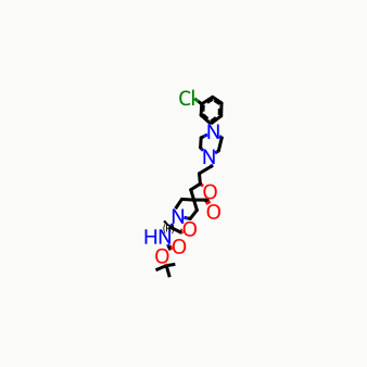 CC(C)(C)OC(=O)N[C@@](C)(C=O)N1CCC2(CC1)CC(CCN1CCN(c3cccc(Cl)c3)CC1)OC2=O